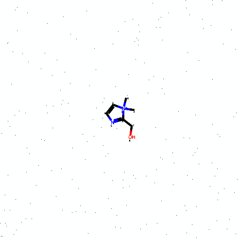 C[N+]1(C)C=CN=C1CO